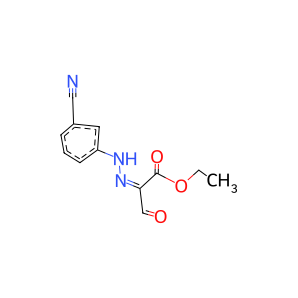 CCOC(=O)/C(C=O)=N\Nc1cccc(C#N)c1